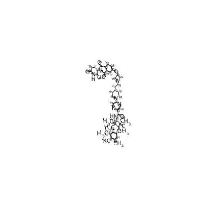 Cc1cc(OC2C(C)(C)C(NC(=O)c3cnc(N4CCC(CCN5CC(Oc6ccc7c(c6)C(=O)N(C6CCC(=O)NC6=O)C7=O)C5)CC4)cn3)C2(C)C)cc(C)c1C#N